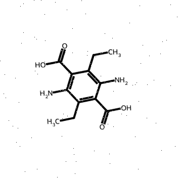 CCc1c(N)c(C(=O)O)c(CC)c(N)c1C(=O)O